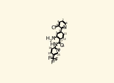 Nc1cc(-c2ncccc2Cl)ccc1C(=O)Nc1ccc(C(F)(F)F)cn1